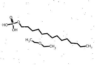 CCCCCCCCCCCCCCOP(=O)(O)O.CCOCC